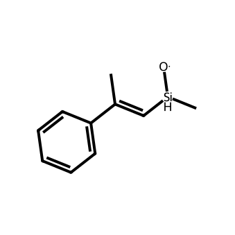 C/C(=C\[SiH](C)[O])c1ccccc1